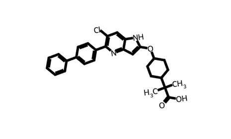 CC(C)(C(=O)O)C1CCC(Oc2cc3nc(-c4ccc(-c5ccccc5)cc4)c(Cl)cc3[nH]2)CC1